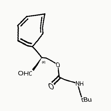 CC(C)(C)NC(=O)O[C@@H](C=O)c1ccccc1